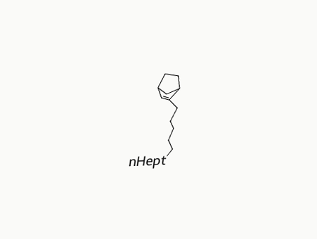 CCCCCCCCCCCCC1=CC2CCC1C2